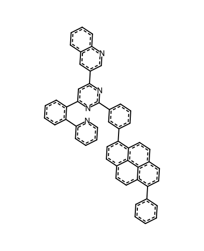 c1ccc(-c2ccc3ccc4c(-c5cccc(-c6nc(-c7cnc8ccccc8c7)cc(-c7ccccc7-c7ccccn7)n6)c5)ccc5ccc2c3c54)cc1